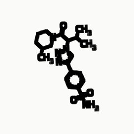 CC1CCCN(C(=O)C(C(C)C)n2cc(-c3ccc(S(N)(=O)=O)cc3)nn2)C1